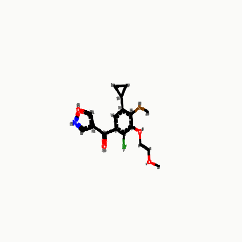 COCCOc1c(Br)c(C(=O)c2cnoc2)cc(C2CC2)c1SC